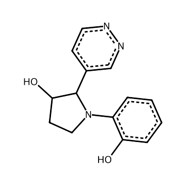 Oc1ccccc1N1CCC(O)C1c1ccnnc1